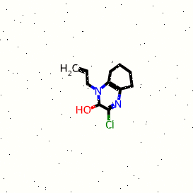 C=CCN1C2=C(CCCC2)N=C(Cl)C1O